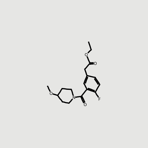 CCOC(=O)Cc1ccc(F)c(C(=O)N2CCC(OC)CC2)c1